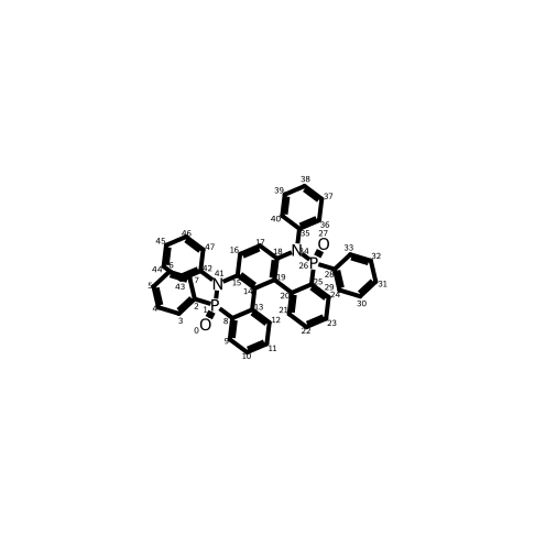 O=P1(c2ccccc2)c2ccccc2-c2c(ccc3c2-c2ccccc2P(=O)(c2ccccc2)N3c2ccccc2)N1c1ccccc1